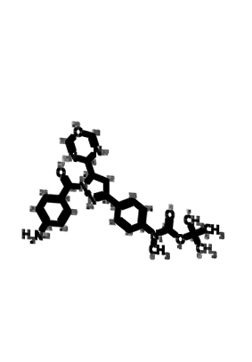 CN(C(=O)OC(C)(C)C)c1ccc(C2=NN(C(=O)c3ccc(N)cc3)C(C3N=COC=N3)C2)cc1